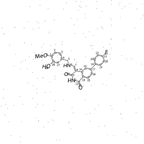 COc1ccc(CN/C=C2\C(=O)NC(=O)c3ccc(-c4ccc(F)cc4)cc32)cc1O